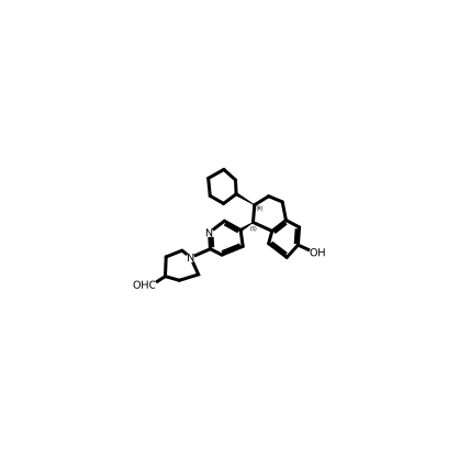 O=CC1CCN(c2ccc([C@@H]3c4ccc(O)cc4CC[C@@H]3C3CCCCC3)cn2)CC1